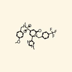 COc1ccc(CN(C)S(=O)(=O)c2cc(-c3cn(C)cn3)n(Cc3ccc(C(F)(F)F)cc3)c(=O)c2)cc1